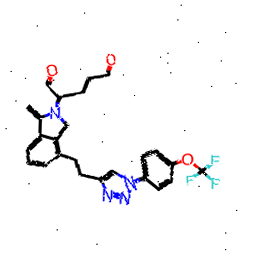 C=C1c2cccc(CCc3cn(-c4ccc(OC(F)(F)F)cc4)nn3)c2CN1C(C=O)CCC=O